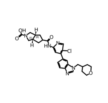 O=C(Nc1cc(-c2ccc3ncn(CC4CCOCC4)c3c2)c(Cl)cn1)C1C[C@@H]2CN(C(=O)O)C[C@@H]2C1